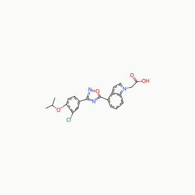 CC(C)Oc1ccc(-c2noc(-c3cccc4c3ccn4CC(=O)O)n2)cc1Cl